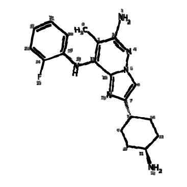 Cc1c(N)nn2cc([C@H]3CC[C@H](N)CC3)nc2c1Nc1ccccc1F